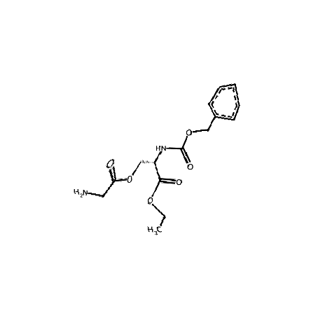 CCOC(=O)[C@H](COC(=O)CN)NC(=O)OCc1ccccc1